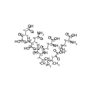 CC(C)CC(=O)C(=O)O.CC(C)CC(NC(=O)CCC(N)C(=O)O)C(=O)O.CSCCC(N)C(=O)O.NC(=O)CCC(N)C(=O)O.O=C(O)CCC(=O)C(=O)O